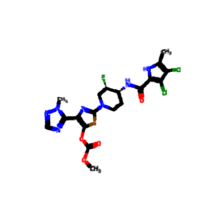 COC(=O)Oc1sc(N2CC[C@@H](NC(=O)c3[nH]c(C)c(Cl)c3Cl)[C@@H](F)C2)nc1-c1ncnn1C